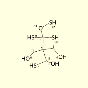 OCC(CO)(C(O)S)C(S)(S)OS